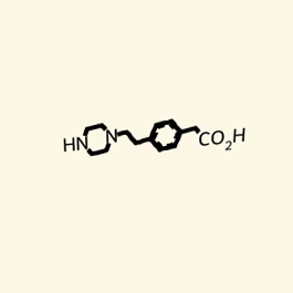 O=C(O)Cc1ccc(CCN2CCNCC2)cc1